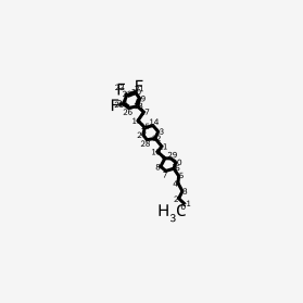 CCCCCCC1CCC(CCC2CCC(CCc3cc(F)c(F)c(F)c3)CC2)CC1